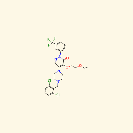 CCOCCOc1c(N2CCN(Cc3c(Cl)cccc3Cl)CC2)cnn(-c2cccc(C(F)(F)F)c2)c1=O